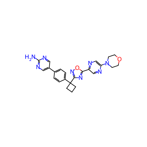 Nc1ncc(-c2ccc(C3(c4noc(-c5cnc(N6CCOCC6)cn5)n4)CCC3)cc2)cn1